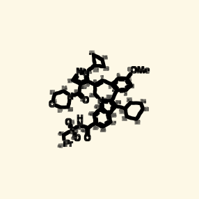 COc1ccc2c(c1)C=C(c1c(C(=O)N3CCOCC3)cnn1C1CCC1)Cn1c-2c(C2CCCCC2)c2ccc(C(=O)NS(=O)(=O)CC(C)C)cc21